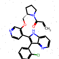 C=CC(=O)N1CCC[C@H]1COc1cnccc1-c1[nH]c2cccnc2c1-c1ccccc1Cl